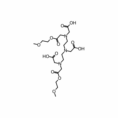 COCCOC(=O)CN(CCN(CCN(CC(=O)O)CC(=O)OCCOC)CC(=O)O)CC(=O)O